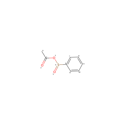 CC(=O)OS(=O)c1ccccc1